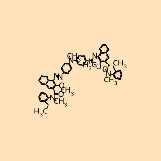 CCc1ccccc1N(C)OCc1cc2ccccc2c(N=Nc2ccc(N(C)c3ccc(N=Nc4c(OC)c(C(=O)N(C)c5ccccc5CC)cc5ccccc45)cc3)cc2)c1OC